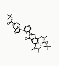 CC(C)N(C)c1cc2c(c(CN(C)C(=O)OC(C)(C)C)n1)CN(c1cccc(-c3cnc4n3CCN(C(=O)OC(C)(C)C)C4)n1)C2=O